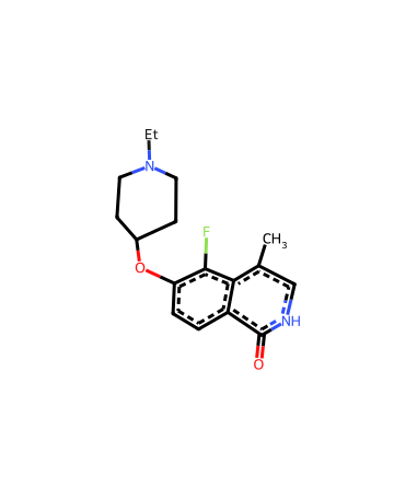 CCN1CCC(Oc2ccc3c(=O)[nH]cc(C)c3c2F)CC1